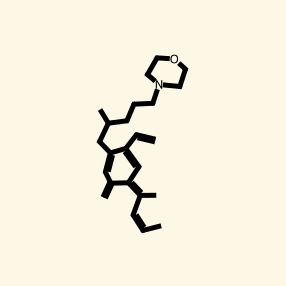 C=Cc1c/c(=C(C)/C=C\C)c(=C)cc1CC(C)CCCN1CCOCC1